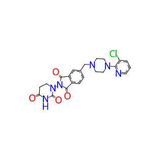 O=C1CCN(N2C(=O)c3ccc(CN4CCN(c5ncccc5Cl)CC4)cc3C2=O)C(=O)N1